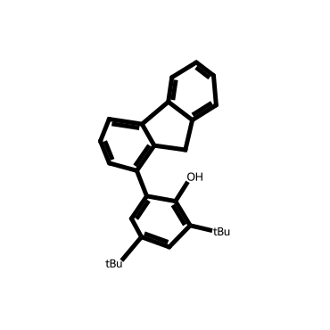 CC(C)(C)c1cc(-c2cccc3c2Cc2ccccc2-3)c(O)c(C(C)(C)C)c1